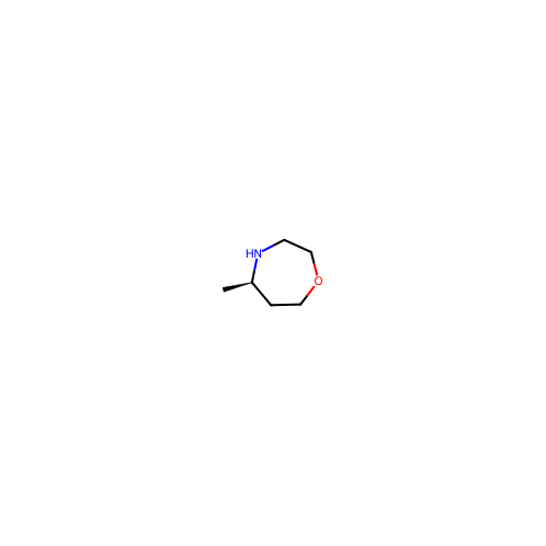 C[C@@H]1CCOCCN1